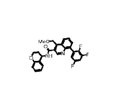 COCc1c(C(=O)NC2CCOc3ccccc32)cnc2c(-c3cc(F)cc(F)c3F)cccc12